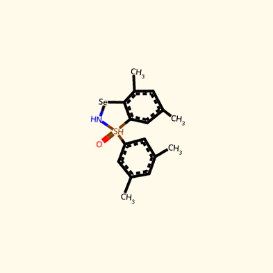 Cc1cc(C)cc([SH]2(=O)N[Se]c3c(C)cc(C)cc32)c1